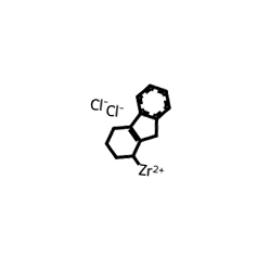 [Cl-].[Cl-].[Zr+2][CH]1CCCC2=C1Cc1ccccc12